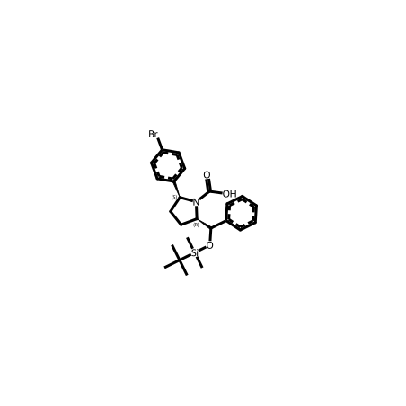 CC(C)(C)[Si](C)(C)OC(c1ccccc1)[C@H]1CC[C@@H](c2ccc(Br)cc2)N1C(=O)O